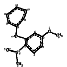 COc1ccc([S+](C)[O-])c(Oc2ccccc2)c1